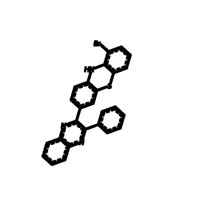 Brc1cccc2c1Nc1ccc(-c3nc4ccccc4nc3-c3ccccc3)cc1S2